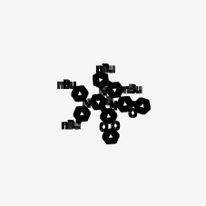 CCCCc1ccc(N(c2ccc(CCCC)cc2)c2cc3c4c(c2)-n2c5ccc(CCCC)cc5c5cc(CCCC)cc(c52)B4N(c2ccc4c(c2)oc2ccccc24)c2cc4c(cc2-3)Oc2ccccc2O4)cc1